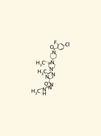 CCNc1nnc(-c2cnc(N3CCN(C4CCN(C(=O)c5ccc(Cl)cc5F)CC4)[C@@H](CC)C3)c(C)n2)o1